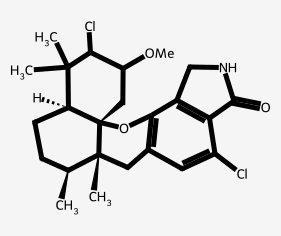 COC1C[C@@]23Oc4c(cc(Cl)c5c4CNC5=O)C[C@]2(C)[C@@H](C)CC[C@H]3C(C)(C)C1Cl